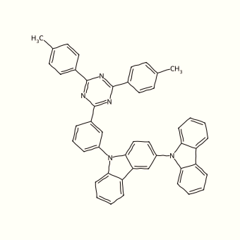 Cc1ccc(-c2nc(-c3ccc(C)cc3)nc(-c3cccc(-n4c5ccccc5c5cc(-n6c7ccccc7c7ccccc76)ccc54)c3)n2)cc1